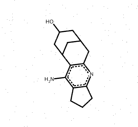 Nc1c2c(nc3c1C1CC(O)CC(C3)C1)CCC2